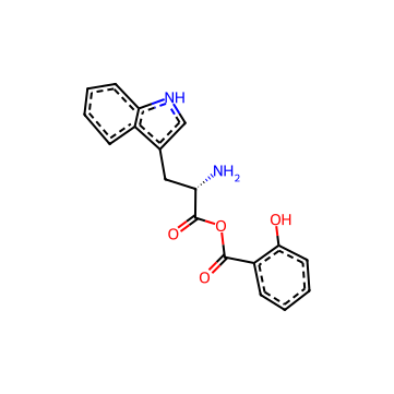 N[C@@H](Cc1c[nH]c2ccccc12)C(=O)OC(=O)c1ccccc1O